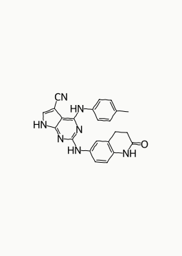 Cc1ccc(Nc2nc(Nc3ccc4c(c3)CCC(=O)N4)nc3[nH]cc(C#N)c23)cc1